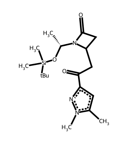 Cc1cc(C(=O)CC2CC(=O)N2[C@@H](C)O[Si](C)(C)C(C)(C)C)nn1C